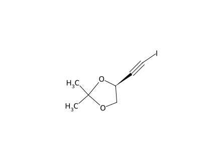 CC1(C)OC[C@H](C#CI)O1